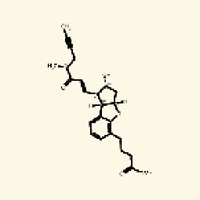 CC#CC[C@H](C)C(=O)/C=C/[C@@H]1[C@H]2c3cccc(CCCC(=O)OC)c3O[C@H]2C[C@H]1O